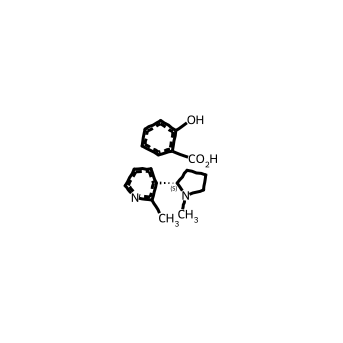 Cc1ncccc1[C@@H]1CCCN1C.O=C(O)c1ccccc1O